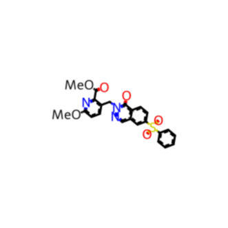 COC(=O)c1nc(OC)ccc1Cn1ncc2cc(S(=O)(=O)c3ccccc3)ccc2c1=O